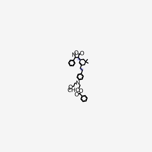 CC1(C)CC(/C=C/c2ccc(N(CCOC=O)CCOC(=O)c3ccccc3)cc2)=CC(=C2/C(=O)ON=C2c2ccccc2)/C1